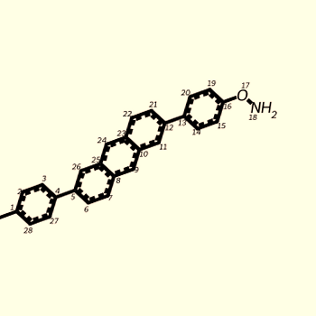 Cc1ccc(-c2ccc3cc4cc(-c5ccc(ON)cc5)ccc4cc3c2)cc1